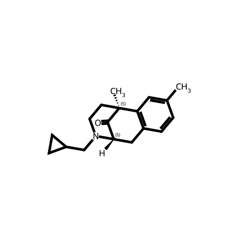 Cc1ccc2c(c1)[C@]1(C)CCN(CC3CC3)[C@@H](C2)C1=O